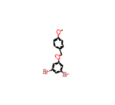 COc1ccc(COc2cc(Br)cc(Br)c2)cc1